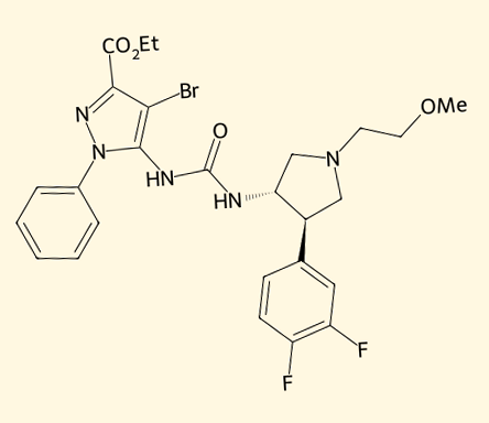 CCOC(=O)c1nn(-c2ccccc2)c(NC(=O)N[C@@H]2CN(CCOC)C[C@H]2c2ccc(F)c(F)c2)c1Br